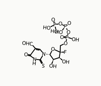 O=Cc1cn([C@@H]2O[C@](F)(COP(=O)(O)OP(=O)(O)OP(=O)(O)O)[C@@H](O)[C@H]2O)c(=S)[nH]c1=O